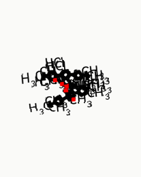 CCCCC1=Cc2c(-c3ccc(C(C)(C)C)cc3)ccc(-c3ccc(C(C)(C)C)cc3)c2[CH]1[Zr]([CH3])([CH3])(=[SiH2])[CH]1C(CCCC)=Cc2c(-c3ccc(C(C)(C)C)cc3)ccc(-c3ccc(C(C)(C)C)cc3)c21.Cl.Cl